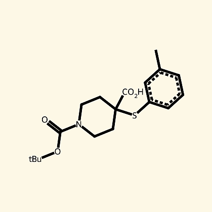 Cc1cccc(SC2(C(=O)O)CCN(C(=O)OC(C)(C)C)CC2)c1